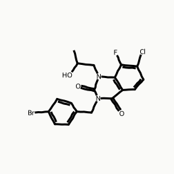 CC(O)Cn1c(=O)n(Cc2ccc(Br)cc2)c(=O)c2ccc(Cl)c(F)c21